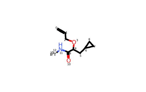 C=CCOC(CC1CC1)C(=O)NC(C)C